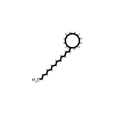 CCCCCCCCCCCCCCC1CCCCCCCCCCC1